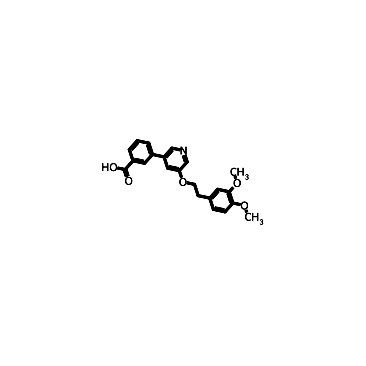 COc1ccc(CCOc2cncc(-c3cccc(C(=O)O)c3)c2)cc1OC